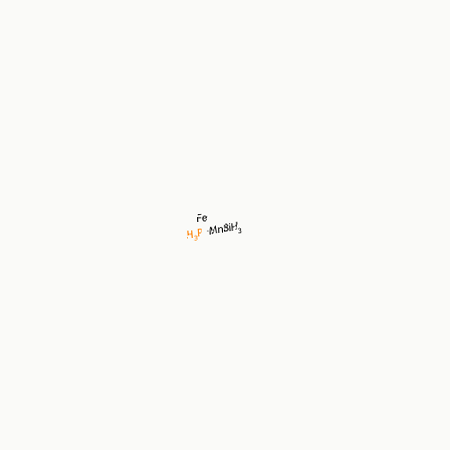 P.[BiH3].[Fe].[Mn]